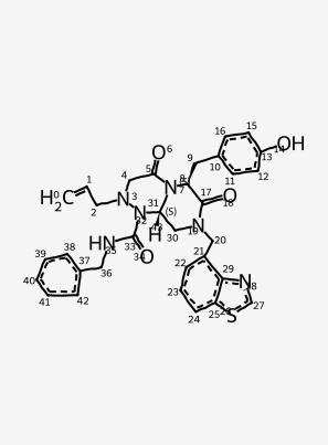 C=CCN1CC(=O)N2[C@@H](Cc3ccc(O)cc3)C(=O)N(Cc3cccc4scnc34)C[C@@H]2N1C(=O)NCc1ccccc1